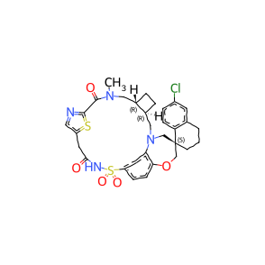 CN1C[C@@H]2CC[C@H]2CN2C[C@@]3(CCCc4cc(Cl)ccc43)COc3ccc(cc32)S(=O)(=O)NC(=O)Cc2cnc(s2)C1=O